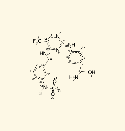 Cc1cc(C(N)O)ccc1Nc1ncc(C(F)(F)F)c(NCc2cccc(N(C)S(C)(=O)=O)c2)n1